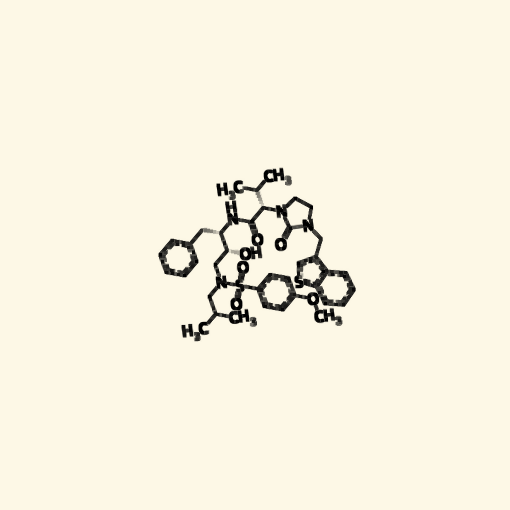 COc1ccc(S(=O)(=O)N(CC(C)C)C[C@@H](O)[C@H](Cc2ccccc2)NC(=O)[C@H](C(C)C)N2CCN(Cc3csc4ccccc34)C2=O)cc1